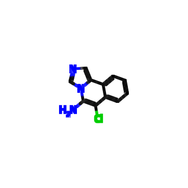 Nc1c(Cl)c2ccccc2c2cncn12